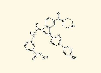 C[S+]([O-])c1cn(-c2ncc(-c3ccc(O)cc3)cn2)c2cc(C(=O)N3CCOCC3)ccc12.O=C(OO)c1cccc(Cl)c1